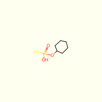 O=P(O)(S)OC1CCCCC1